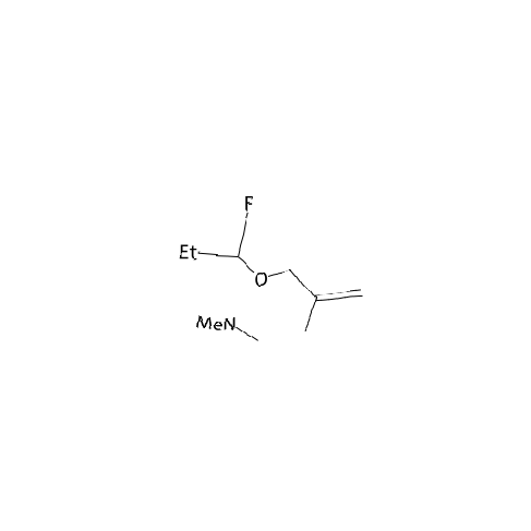 C=C(C)COC(F)CC.CNC